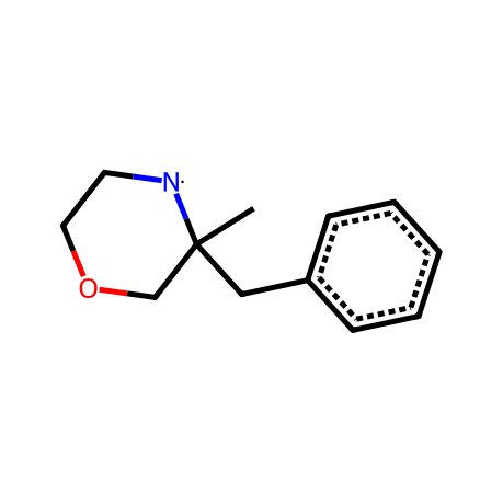 CC1(Cc2ccccc2)COCC[N]1